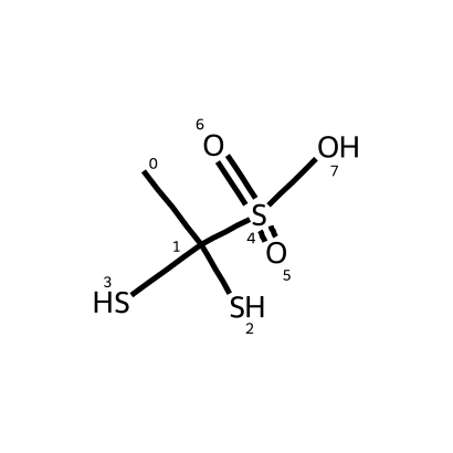 CC(S)(S)S(=O)(=O)O